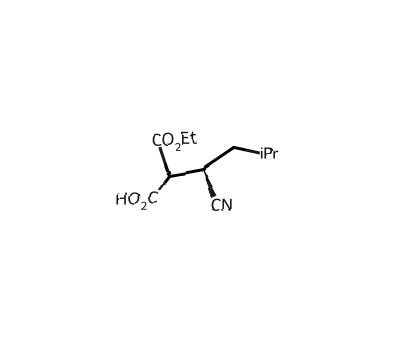 CCOC(=O)C(C(=O)O)[C@H](C#N)CC(C)C